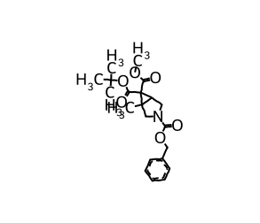 COC(=O)C1(C(=O)OC(C)(C)C)C2CN(C(=O)OCc3ccccc3)CC21C